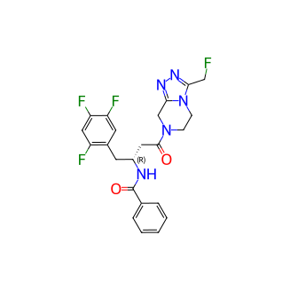 O=C(N[C@@H](CC(=O)N1CCn2c(CF)nnc2C1)Cc1cc(F)c(F)cc1F)c1ccccc1